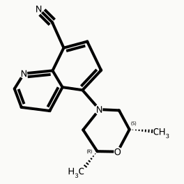 C[C@@H]1CN(c2ccc(C#N)c3ncccc23)C[C@H](C)O1